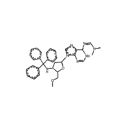 COCC1OC(n2cnc3c2N=CNC3/N=C\N(C)C)CC1NC(c1ccccc1)(c1ccccc1)c1ccccc1